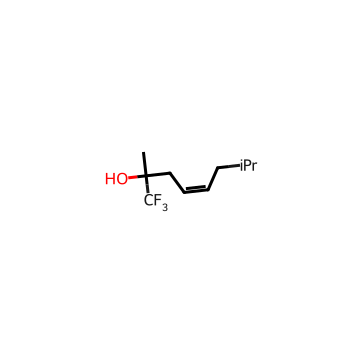 CC(C)C/C=C\CC(C)(O)C(F)(F)F